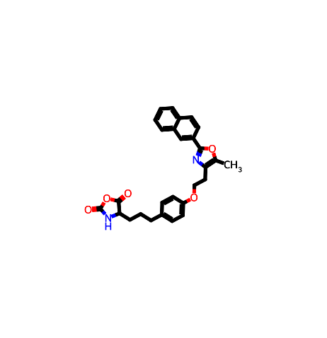 Cc1oc(-c2ccc3ccccc3c2)nc1CCOc1ccc(CCCC2NC(=O)OC2=O)cc1